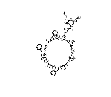 C=CCOC(=O)N[C@@H](CSSC(C)(C)C)C(=O)NCCCC[C@@H]1NC(=O)C(Cc2ccccc2)NC(=O)COCC(Cc2ccccc2)NC(=O)[C@H](C)NC(=O)[C@H](C)N(C)C(=O)C(Cc2ccccc2)N(C)C(=O)[C@H](C)NC(=O)[C@H](CC(C)C)N(C)C(=O)[C@H](C)N(C)C(=O)C(CC(C)C)NC1=O